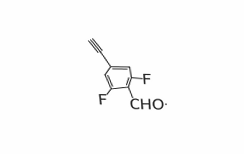 C#Cc1cc(F)c([C]=O)c(F)c1